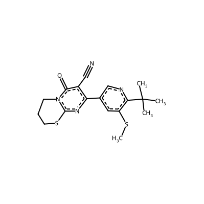 CSc1cc(-c2nc3n(c(=O)c2C#N)CCCS3)cnc1C(C)(C)C